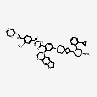 CN1CCN(C2CC3(CCN(c4ccc(C(=O)NS(=O)(=O)c5ccc(NC[C@H]6COCCO6)c([N+](=O)[O-])c5)c(N5CCOc6nc7[nH]ccc7cc65)c4)CC3)C2)C(c2ccccc2C2CC2)C1